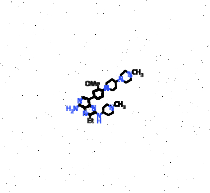 CCc1nc2c(N)ncc(-c3ccc(N4CCC(N5CCN(C)CC5)CC4)c(OC)c3)c2nc1NC1CCN(C)CC1